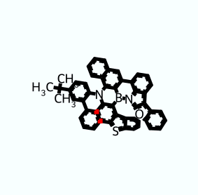 CC(C)(C)c1ccc(N2c3ccc4sc5ccccc5c4c3B3c4c(cc5ccccc5c42)-c2cccc4c5c6ccccc6oc5n3c24)c(-c2ccccc2)c1